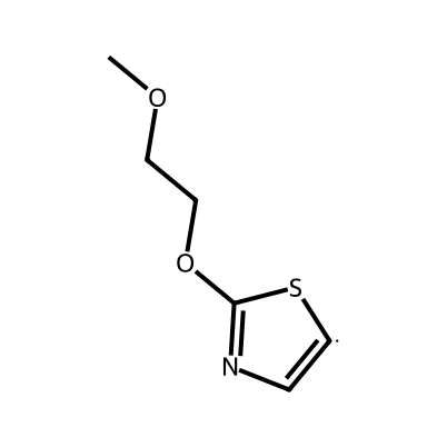 COCCOc1nc[c]s1